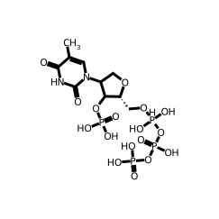 Cc1cn(C2CO[C@H](CO[PH](O)(O)OP(=O)(O)OP(=O)(O)O)C2OP(=O)(O)O)c(=O)[nH]c1=O